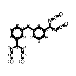 O=C=NC(N=C=O)c1cccc(Cc2cccc(C(N=C=O)N=C=O)c2)c1